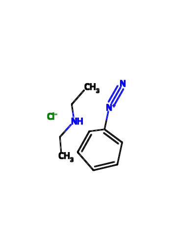 CCNCC.N#[N+]c1ccccc1.[Cl-]